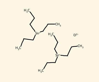 CC[CH2][Sn+]([CH2]CC)[CH2]CC.CC[CH2][Sn+]([CH2]CC)[CH2]CC.[O-2]